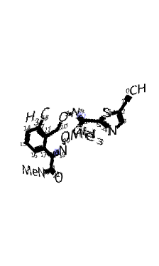 C#Cc1cnc(/C(C)=N/OCc2c(C)cccc2/C(=N\OC)C(=O)NC)s1